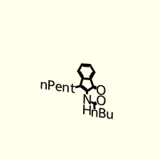 CCCCCC1=C(NC(=O)CCCC)C(=O)c2ccccc21